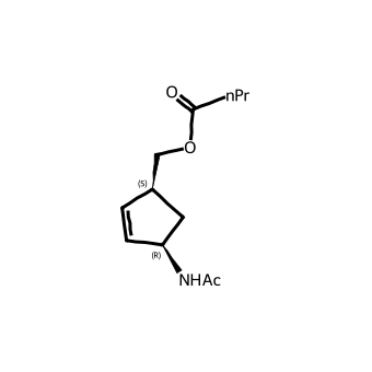 CCCC(=O)OC[C@@H]1C=C[C@H](NC(C)=O)C1